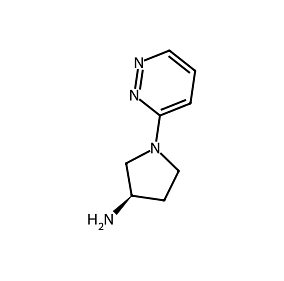 N[C@@H]1CCN(c2cccnn2)C1